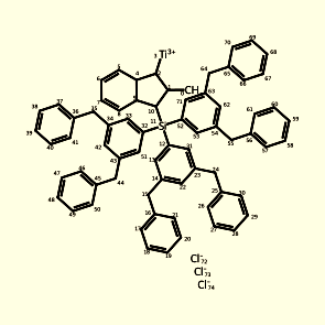 CC1[CH]([Ti+3])C2C=CC=CC2C1[Si](c1cc(Cc2ccccc2)cc(Cc2ccccc2)c1)(c1cc(Cc2ccccc2)cc(Cc2ccccc2)c1)c1cc(Cc2ccccc2)cc(Cc2ccccc2)c1.[Cl-].[Cl-].[Cl-]